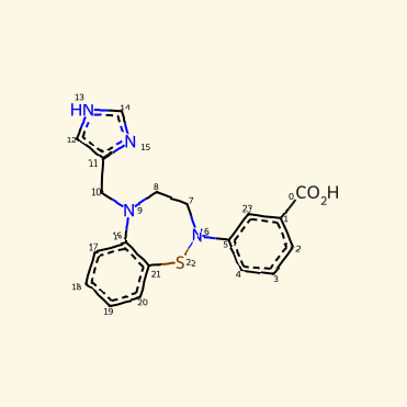 O=C(O)c1cccc(N2CCN(Cc3c[nH]cn3)c3ccccc3S2)c1